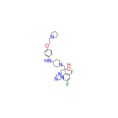 OC(CN1CCC(Nc2ccc(OCCN3CCCC3)cc2)CC1)(Cn1cncn1)c1ccc(F)cc1F